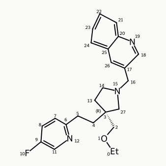 CCOC[C@]1(CCc2ccc(F)cn2)CCN(Cc2cnc3ccccc3c2)C1